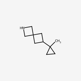 CC1(C2CC3(CNC3)C2)CC1